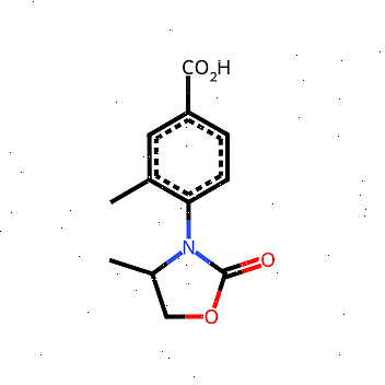 Cc1cc(C(=O)O)ccc1N1C(=O)OCC1C